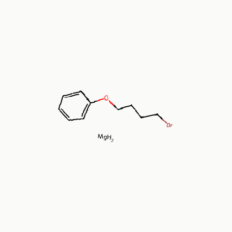 BrCCCCOc1ccccc1.[MgH2]